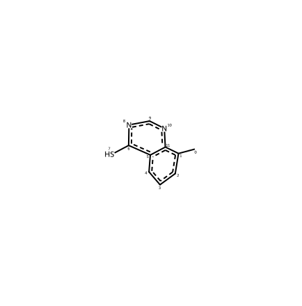 Cc1cccc2c(S)ncnc12